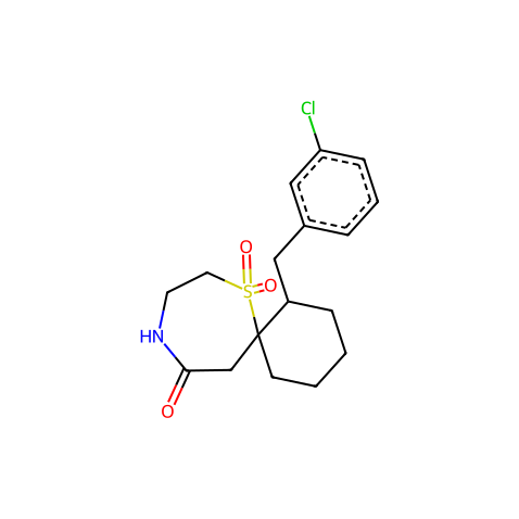 O=C1CC2(CCCCC2Cc2cccc(Cl)c2)S(=O)(=O)CCN1